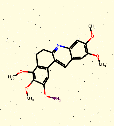 COc1cc2cc3c(nc2cc1OC)CCc1c-3cc(OP)c(OC)c1OC